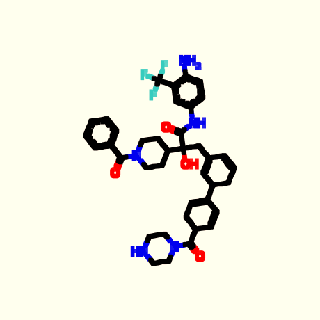 Nc1ccc(NC(=O)C(O)(CC2=CC(C3=CCC(C(=O)N4CCNCC4)C=C3)CC=C2)C2CCN(C(=O)c3ccccc3)CC2)cc1C(F)(F)F